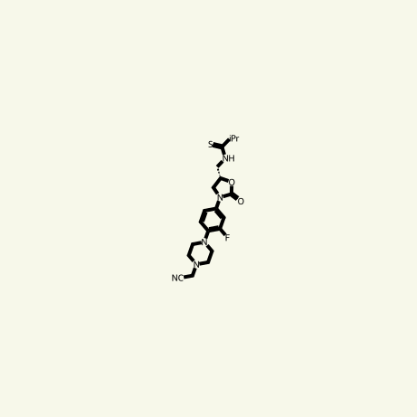 CC(C)C(=S)NC[C@H]1CN(c2ccc(N3CCN(CC#N)CC3)c(F)c2)C(=O)O1